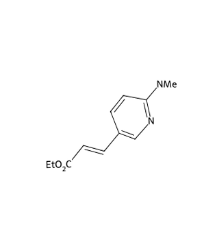 CCOC(=O)/C=C/c1ccc(NC)nc1